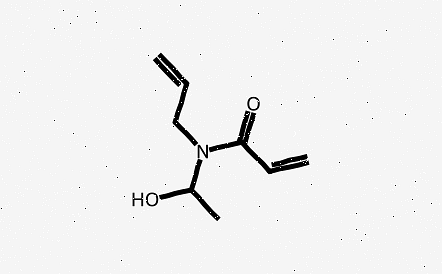 C=CCN(C(=O)C=C)C(C)O